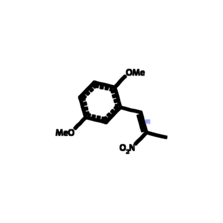 COc1ccc(OC)c(/C=C(/C)[N+](=O)[O-])c1